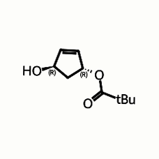 CC(C)(C)C(=O)O[C@H]1C=C[C@H](O)C1